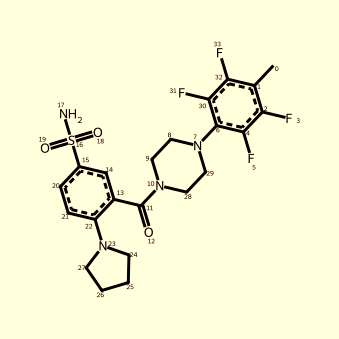 Cc1c(F)c(F)c(N2CCN(C(=O)c3cc(S(N)(=O)=O)ccc3N3CCCC3)CC2)c(F)c1F